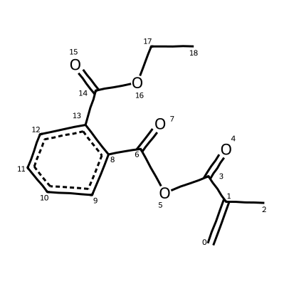 C=C(C)C(=O)OC(=O)c1ccccc1C(=O)OCC